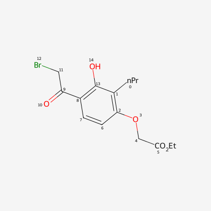 CCCc1c(OCC(=O)OCC)ccc(C(=O)CBr)c1O